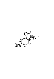 C[N][C@@H]1COc2cc(Br)ccc21